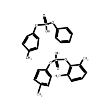 Cc1ccc(OP(=O)(O)Oc2c(C)cccc2C)cc1.Cc1ccc(OP(=O)(O)Oc2ccccc2)cc1